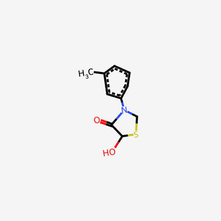 Cc1cccc(N2CSC(O)C2=O)c1